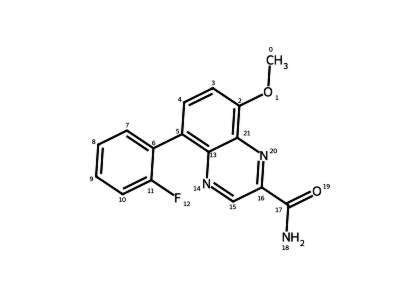 COc1ccc(-c2ccccc2F)c2ncc(C(N)=O)nc12